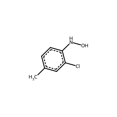 Cc1ccc(NO)c(Cl)c1